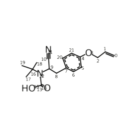 C=CCOc1ccc(CC(C#N)N(C(=O)O)C(C)(C)C)cc1